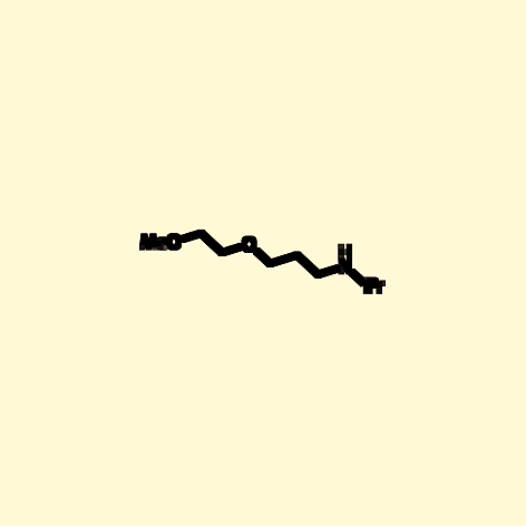 COCCOCCCNC(C)C